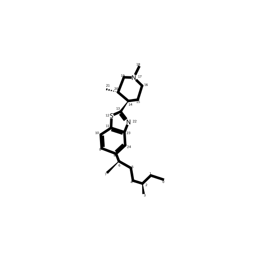 CC[C@@H](C)CC[C@@H](C)c1ccc2sc([C@@H]3CCN(C)C[C@H]3C)nc2c1